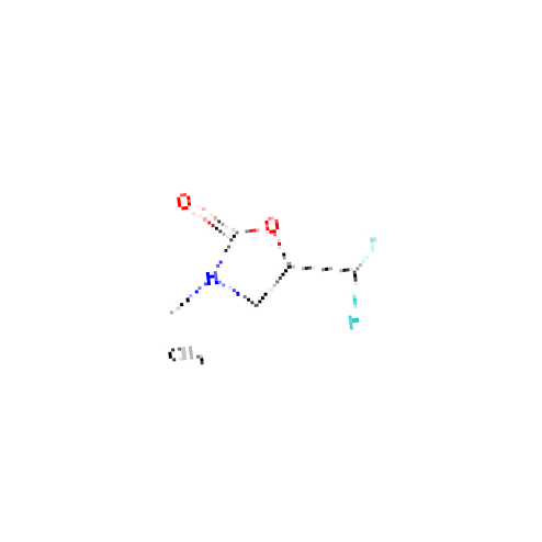 CCN1CC(C(F)F)OC1=O